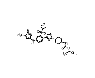 Cc1cc(Nc2ccc(-c3cnc([C@H]4CC[C@H](NC(=O)OC(C)C)CC4)s3)c(S(=O)(=O)C3COC3)c2)n[nH]1